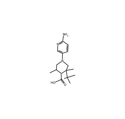 CC1CN(c2ccc(N)nc2)CC(C)(C(C)(C)C)N1C(=O)O